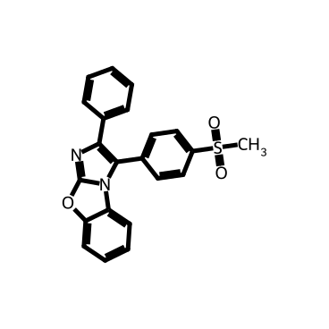 CS(=O)(=O)c1ccc(-c2c(-c3ccccc3)nc3oc4ccccc4n23)cc1